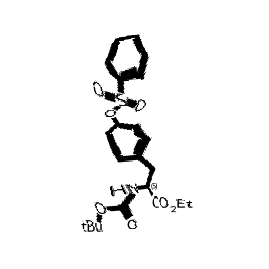 CCOC(=O)[C@H](Cc1ccc(OS(=O)(=O)c2ccccc2)cc1)NC(=O)OC(C)(C)C